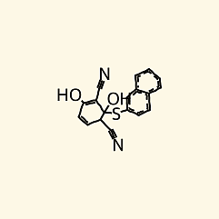 N#CC1=C(O)C=CC(C#N)C1(O)Sc1ccc2ccccc2c1